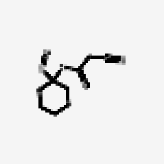 N#CCC(=O)OC1(N=O)CCCCC1